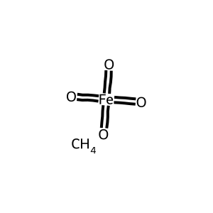 C.[O]=[Fe](=[O])(=[O])=[O]